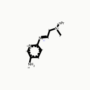 CCCN(C)C/C=N/c1ccc(N)cn1